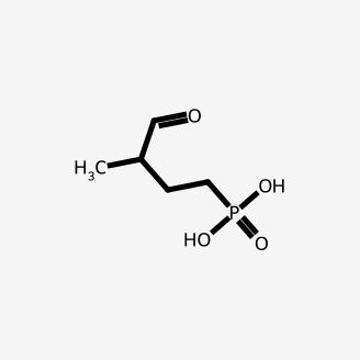 CC(C=O)CCP(=O)(O)O